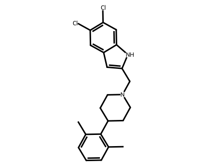 Cc1cccc(C)c1C1CCN(Cc2cc3cc(Cl)c(Cl)cc3[nH]2)CC1